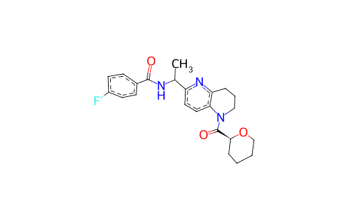 CC(NC(=O)c1ccc(F)cc1)c1ccc2c(n1)CCCN2C(=O)[C@@H]1CCCCO1